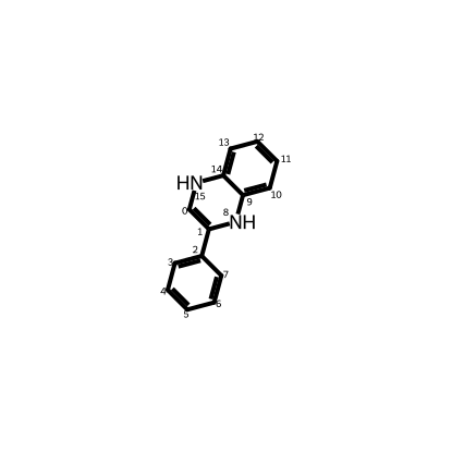 C1=C(c2ccccc2)Nc2ccccc2N1